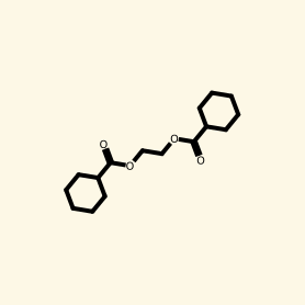 O=C(OCCOC(=O)C1CCCCC1)C1CCCCC1